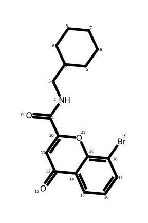 O=C(NCC1CCCCC1)c1cc(=O)c2cccc(Br)c2o1